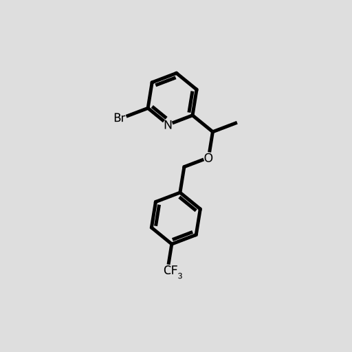 CC(OCc1ccc(C(F)(F)F)cc1)c1cccc(Br)n1